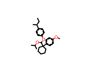 CCC(C)c1ccc(OC(OC(C)C)C2(c3ccc(OC)cc3)CCCCC2)cc1